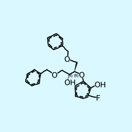 Oc1c(F)cccc1O[C@H](COCc1ccccc1)[C@H](O)COCc1ccccc1